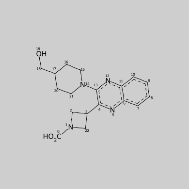 O=C(O)N1CC(c2nc3ccccc3nc2N2CCC(CO)CC2)C1